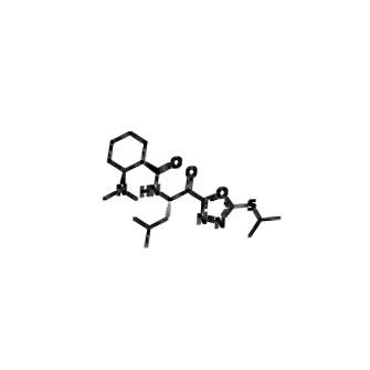 CC(C)C[C@H](NC(=O)[C@@H]1CCCC[C@@H]1N(C)C)C(=O)c1nnc(SC(C)C)o1